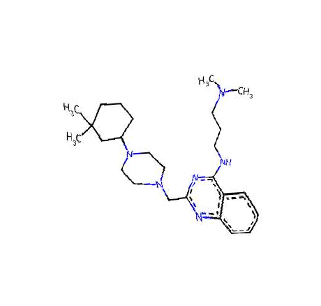 CN(C)CCCNc1nc(CN2CCN(C3CCCC(C)(C)C3)CC2)nc2ccccc12